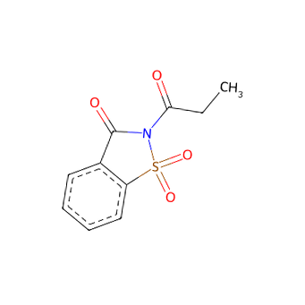 CCC(=O)N1C(=O)c2ccccc2S1(=O)=O